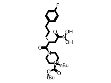 CCCC[N+]1(C(=O)OC(C)(C)C)CCN(C(=O)[C@H](CCCc2ccc(F)cc2)CC(=O)N(O)O)CC1